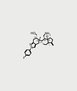 C=C1CC[C@H]2[C@H](CN)[C@@H]([C@]3(C)Cc4cn(-c5ccc(F)cc5)nc4C[C@@H]3CO)CC[C@]12C